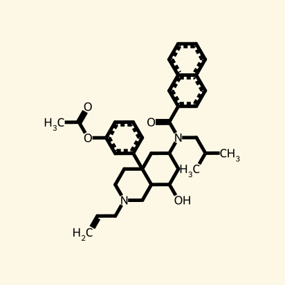 C=CCN1CCC2(c3cccc(OC(C)=O)c3)CC(N(CC(C)C)C(=O)c3ccc4ccccc4c3)CC(O)C2C1